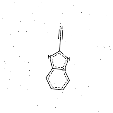 N#Cc1nc2ccccn2n1